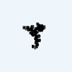 CCOC(=O)CC(=O)[C@@H]1CCN(C(=O)OC)[C@H](Cc2ccc(F)cc2F)C1